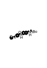 C[C@H](NCc1ccc2c(c1)CC[C@H](NC(=O)c1ccc(OC[C@@H]3CCCO3)cc1)C2)C(C)(C)C